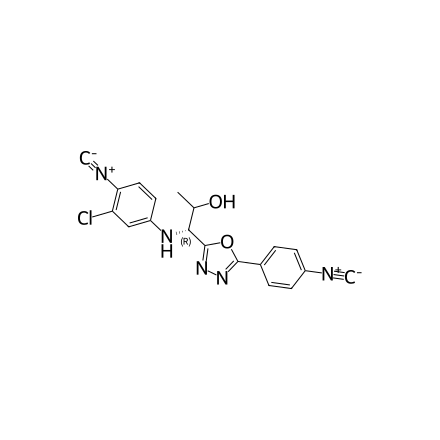 [C-]#[N+]c1ccc(-c2nnc([C@H](Nc3ccc([N+]#[C-])c(Cl)c3)C(C)O)o2)cc1